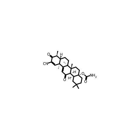 [C-]#[N+]C1=C[C@]2(C)C3=CC(=O)[C@@H]4[C@@H]5CC(C)(C)CC[C@]5(OC(N)=O)CC[C@@]4(C)[C@]3(C)CC[C@H]2[C@H](C)C1=O